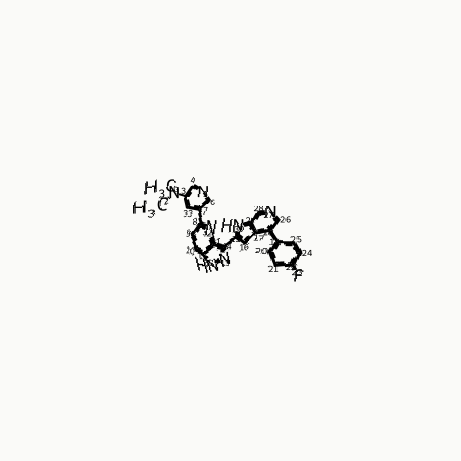 CN(C)c1cncc(-c2ccc3[nH]nc(-c4cc5c(-c6ccc(F)cc6)cncc5[nH]4)c3n2)c1